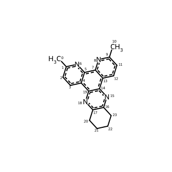 Cc1ccc2c(n1)c1nc(C)ccc1c1nc3c(nc21)CCCC3